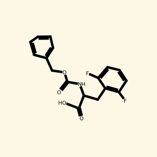 O=C(NC(Cc1c(F)cccc1F)C(=O)O)OCc1ccccc1